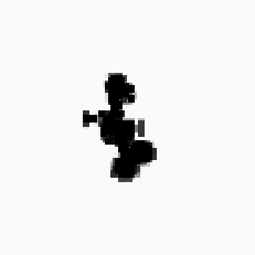 O=C(N[C@@H](CCCCN1CCCC1=O)C(=O)O)OCC1c2ccccc2-c2ccccc21